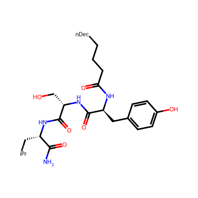 CCCCCCCCCCCCCC(=O)N[C@@H](Cc1ccc(O)cc1)C(=O)N[C@@H](CO)C(=O)N[C@@H](CC(C)C)C(N)=O